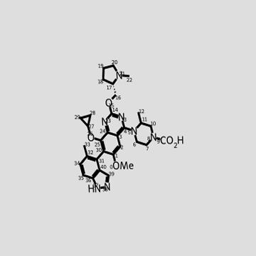 COc1cc2c(N3CCN(C(=O)O)CC3C)nc(OC[C@@H]3CCCN3C)nc2c(OC2CC2)c1-c1c(C)ccc2[nH]ncc12